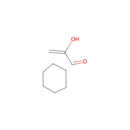 C1CCCCC1.C=C(O)C=O